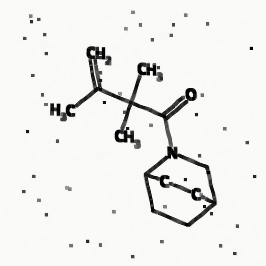 C=C(C)C(C)(C)C(=O)N1CC2CCC1CC2